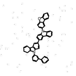 C1=Cc2c(n(-c3cccc(-c4ccccc4)c3)c3ccc(-c4ccc5c(c4)c4ccccc4n5-c4ccc5oc6ccccc6c5c4)cc23)CC1